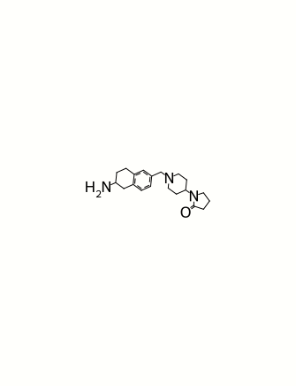 NC1CCc2cc(CN3CCC(N4CCCC4=O)CC3)ccc2C1